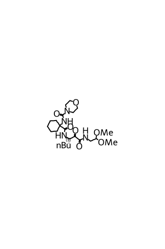 CCCC[C@H](NC(=O)C1(NC(=O)N2CCOCC2)CCCCC1)C(=O)C(=O)NCC(OC)OC